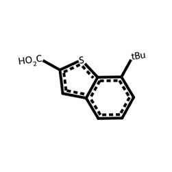 CC(C)(C)c1cccc2cc(C(=O)O)sc12